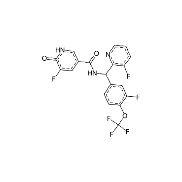 O=C(NC(c1ccc(OC(F)(F)F)c(F)c1)c1ncccc1F)c1c[nH]c(=O)c(F)c1